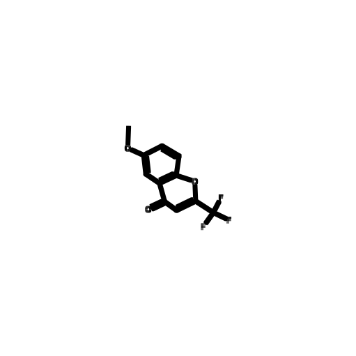 COc1ccc2oc(C(F)(F)F)cc(=O)c2c1